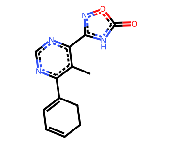 Cc1c(C2=CC=CCC2)ncnc1-c1noc(=O)[nH]1